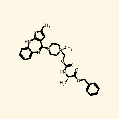 Cc1cc2c(s1)Nc1ccccc1N=C2N1CC[N+](C)(COC(=O)N[C@@H](C)C(=O)OCc2ccccc2)CC1.[I-]